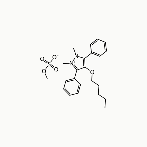 CCCCCOc1c(-c2ccccc2)n(C)[n+](C)c1-c1ccccc1.COS(=O)(=O)[O-]